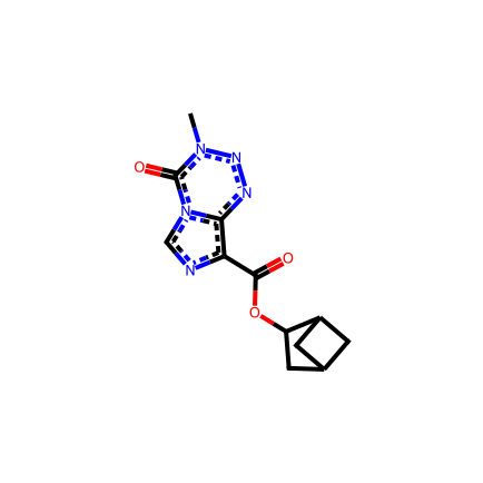 Cn1nnc2c(C(=O)OC3CC4CC3C4)ncn2c1=O